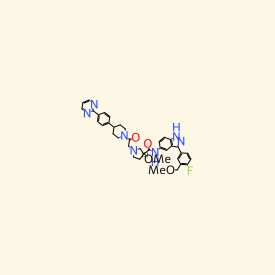 COCc1cc(-c2n[nH]c3ccc(NC(=O)[C@]4(OC)CCN(CC(=O)N5CCC(c6ccc(-c7ncccn7)cc6)CC5)C4)cc23)ccc1F